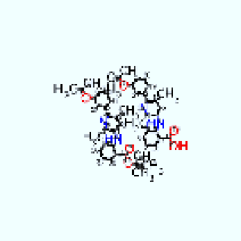 Cc1cc(Nc2c(C)cccc2C(=O)O)cnc1-c1cccc(OC(C)C)c1.Cc1cc(Nc2c(C)cccc2C(=O)OC(C)(C)C)cnc1-c1cccc(OC(C)C)c1